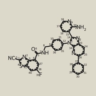 N#Cc1nc2c(C(=O)NCc3ccc(-n4c(-c5cccnc5N)nc5ccc(-c6ccccc6)nc54)cc3)cc(F)cc2s1